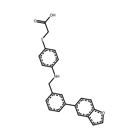 O=C(O)CSc1ccc(NCc2cccc(-c3ccc4occc4c3)c2)cc1